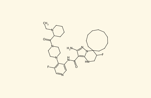 CCN1CCCCC1C(=O)N1CCN(c2c(F)cncc2NC(=O)c2c(N)nn3c2NCC(F)C32CCCCCCCCCC2)CC1